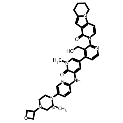 C[C@H]1CN(C2COC2)CCN1c1ccc(Nc2cc(-c3ccnc(-n4ccc5c(cc6n5CCCC6)c4=O)c3CO)cn(C)c2=O)nc1